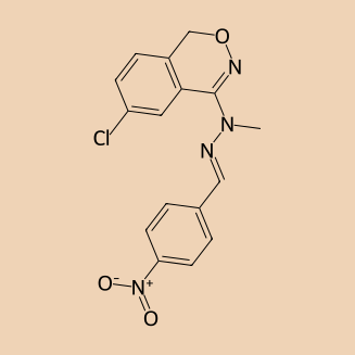 CN(N=Cc1ccc([N+](=O)[O-])cc1)C1=NOCc2ccc(Cl)cc21